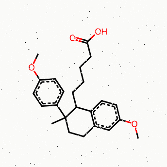 COc1ccc(C2(C)CCc3cc(OC)ccc3C2CCCCC(=O)O)cc1